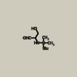 CC(C)(C)[Si](C)(C)NC([C]=O)CO